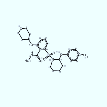 O=C(NO)c1c(OC2CCOCC2)cccc1S(=O)(=O)N1CCCCC1Oc1ccc(C(F)(F)F)cc1